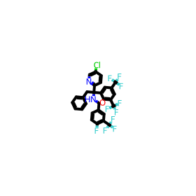 O=C(NC(Cc1ccccc1)(c1cc(C(F)(F)F)cc(C(F)(F)F)c1)c1ccc(Cl)cn1)c1ccc(F)c(C(F)(F)F)c1